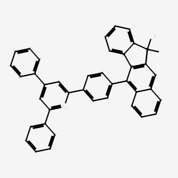 CC1(C)c2ccccc2-c2c1cc1ccccc1c2-c1ccc(-c2cc(-c3ccccc3)cc(-c3ccccc3)n2)cc1